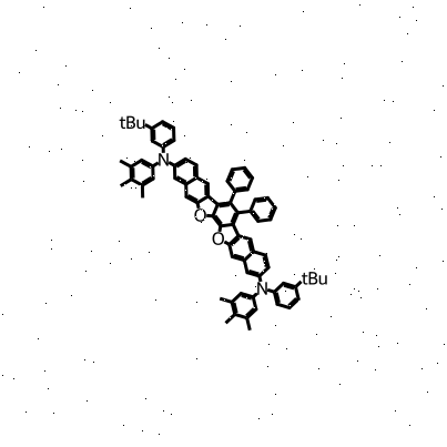 Cc1cc(N(c2cccc(C(C)(C)C)c2)c2ccc3cc4c(cc3c2)oc2c3oc5cc6cc(N(c7cccc(C(C)(C)C)c7)c7cc(C)c(C)c(C)c7)ccc6cc5c3c(-c3ccccc3)c(-c3ccccc3)c42)cc(C)c1C